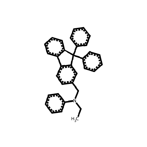 CCN(Cc1ccc2c(c1)C(c1ccccc1)(c1ccccc1)c1ccccc1-2)c1ccccc1